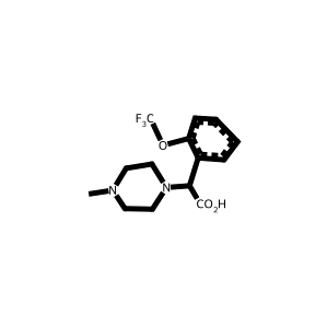 CN1CCN(C(C(=O)O)c2ccccc2OC(F)(F)F)CC1